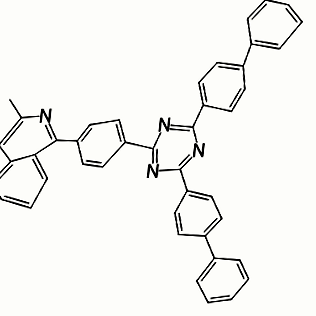 Cc1cc2ccccc2c(-c2ccc(-c3nc(-c4ccc(-c5ccccc5)cc4)nc(-c4ccc(-c5ccccc5)cc4)n3)cc2)n1